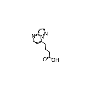 O=C(O)CCCc1ccnc2ccnn12